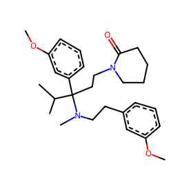 COc1cccc(CCN(C)C(CCN2CCCCC2=O)(c2cccc(OC)c2)C(C)C)c1